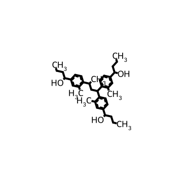 CCCC(O)c1ccc(C(C)CC(c2ccc(C(O)CCC)cc2C)c2ccc(C(O)CCC)cc2C)c(C)c1